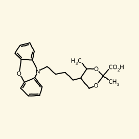 CC1OC(C)(C(=O)O)OCC1CCCCN1c2ccccc2Oc2ccccc21